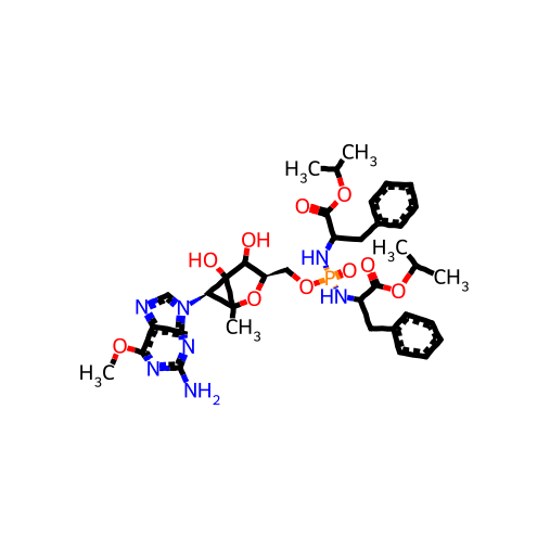 COc1nc(N)nc2c1ncn2[C@@H]1C2(C)O[C@H](COP(=O)(NC(Cc3ccccc3)C(=O)OC(C)C)NC(Cc3ccccc3)C(=O)OC(C)C)C(O)C12O